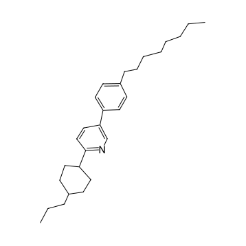 CCCCCCCCc1ccc(-c2ccc(C3CCC(CCC)CC3)nc2)cc1